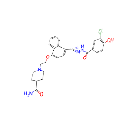 NC(=O)C1CCN(CCOc2ccc(/C=N/NC(=O)c3ccc(O)c(Cl)c3)c3ccccc23)CC1